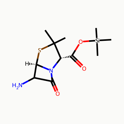 CC1(C)S[C@@H]2C(N)C(=O)N2[C@H]1C(=O)O[Si](C)(C)C